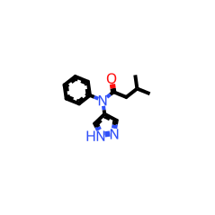 CC(C)CC(=O)N(c1ccccc1)c1cn[nH]c1